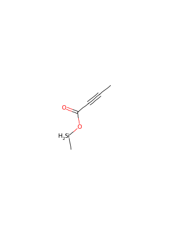 CC#CC(=O)O[SiH2]C